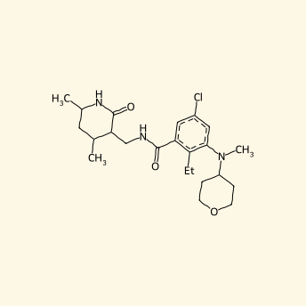 CCc1c(C(=O)NCC2C(=O)NC(C)CC2C)cc(Cl)cc1N(C)C1CCOCC1